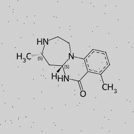 Cc1cccc2c1C(=O)N[C@@H]1C[C@H](C)NCCN21